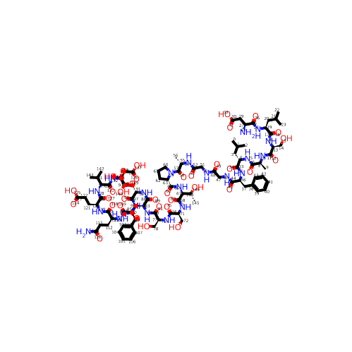 CC(C)C[C@H](NC(=O)[C@H](C)NC(=O)[C@H](CO)NC(=O)[C@H](CC(C)C)NC(=O)[C@@H](N)CC(=O)O)C(=O)N[C@@H](Cc1ccccc1)C(=O)NCC(=O)NCC(=O)N[C@@H](C)C(=O)N1CCC[C@H]1C(=O)N[C@H](C(=O)N[C@@H](CO)C(=O)N[C@@H](CO)C(=O)N[C@@H](CC(N)=O)C(=O)N[C@@H](CCC(=O)O)C(=O)N[C@@H](Cc1ccccc1)C(=O)N[C@@H](CCC(N)=O)C(=O)N[C@@H](CCC(=O)O)C(=O)N[C@H](C(=O)N[C@@H](CC(=O)O)C(=O)O)C(C)C)[C@@H](C)O